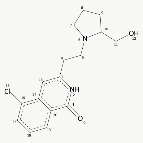 O=c1[nH]c(CCN2CCCC2CO)cc2c(Cl)cccc12